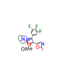 COc1cc(N2C3CCC2CN(Cc2cc(F)c(F)c(F)c2)C(=O)C3)ccc1-c1cnc(C)o1